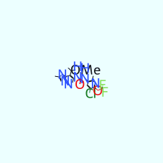 COC(C)c1c(NC(=O)Nc2cc(Cl)c(OC(F)F)nc2C)cnn2cc(C)nc12